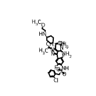 C=C(c1c(/C(N)=N\C)c(-c2cc(F)c(NS(=O)(=O)Cc3ccccc3Cl)cc2F)nn1C(C)C)[C@H]1CC[C@H](NCCOC)CC1